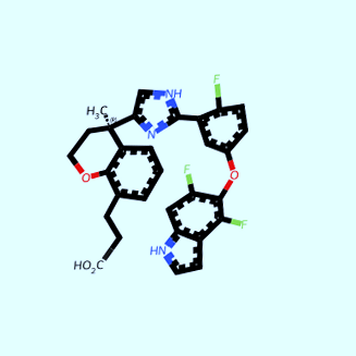 C[C@@]1(c2c[nH]c(-c3cc(Oc4c(F)cc5[nH]ccc5c4F)ccc3F)n2)CCOc2c(CCC(=O)O)cccc21